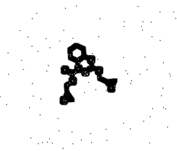 O=C(OCC1CO1)OC1CCCCC1OC(=O)OCC1CO1